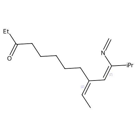 C=N/C(=C\C(=C/C)CCCCCC(=O)CC)C(C)C